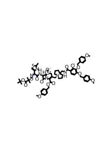 COc1ccc(COC(=O)C2=C(C[N+]34CCCC3(CNC(=O)c3ccc(OCc5ccc(OC)cc5)c(OCc5ccc(OC)cc5)c3Cl)CCC4)C[S+]([O-])[C@@H]3[C@H](NC(=O)/C(=N\OC(C)(C)C(=O)OC(C)(C)C)c4csc(C)n4)C(=O)N23)cc1